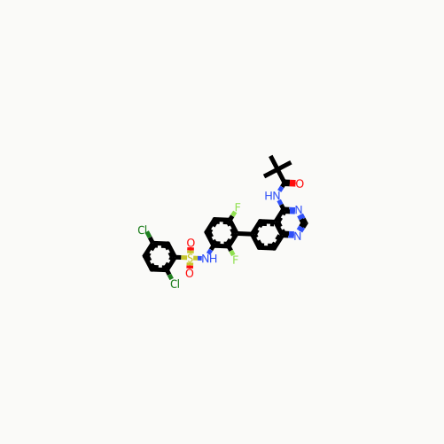 CC(C)(C)C(=O)Nc1ncnc2ccc(-c3c(F)ccc(NS(=O)(=O)c4cc(Cl)ccc4Cl)c3F)cc12